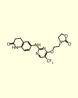 O=C1CCc2cc(Nc3ncc(C(F)(F)F)c(OCCN4CCOC4=O)n3)ccc2N1